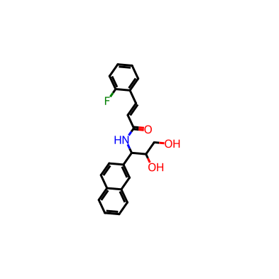 O=C(C=Cc1ccccc1F)NC(c1ccc2ccccc2c1)C(O)CO